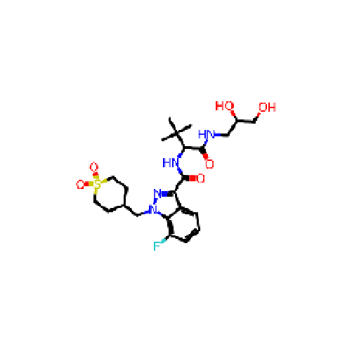 CC(C)(C)C(NC(=O)c1nn(CC2CCS(=O)(=O)CC2)c2c(F)cccc12)C(=O)NCC(O)CO